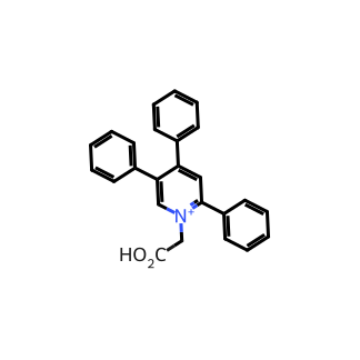 O=C(O)C[n+]1cc(-c2ccccc2)c(-c2ccccc2)cc1-c1ccccc1